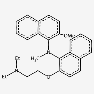 CCN(CC)CCOc1ccc2ccccc2c1N(C)c1c(OC)ccc2ccccc12